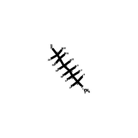 C.FC(F)(I)C(F)(F)C(F)(F)C(F)(F)C(F)(F)C(F)(F)I